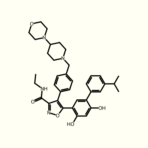 CCNC(=O)c1noc(-c2cc(-c3cccc(C(C)C)c3)c(O)cc2O)c1-c1ccc(CN2CCC(N3CCOCC3)CC2)cc1